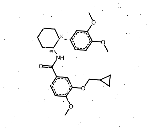 COc1ccc([C@H]2CCCC[C@H]2NC(=O)c2ccc(OC)c(OCC3CC3)c2)cc1OC